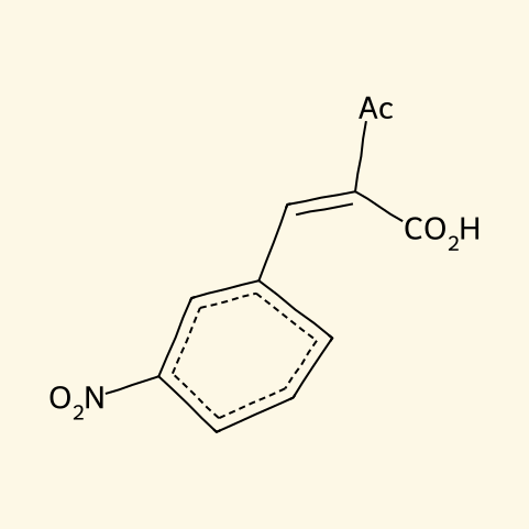 CC(=O)C(=Cc1cccc([N+](=O)[O-])c1)C(=O)O